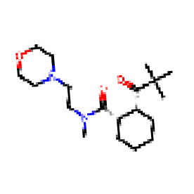 CN(CCN1CCOCC1)C(=O)[C@H]1CCCC[C@H]1C(=O)C(C)(C)C